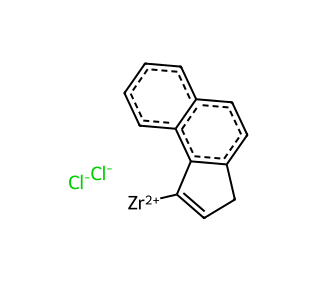 [Cl-].[Cl-].[Zr+2][C]1=CCc2ccc3ccccc3c21